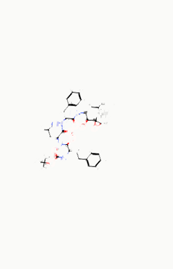 CC(C)C[C@H](NC(=O)[C@H](CCc1ccccc1)NC(=O)OC(C)(C)C)C(=O)N[C@@H](Cc1ccccc1)C(=O)N[C@H](CC(C)C)C(=O)[C@]1(C)CO1